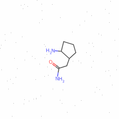 NC(=O)CC1CCCC1N